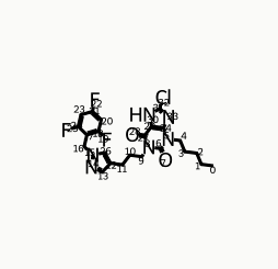 CCCCCn1c(=O)n(CCCc2cnn(Cc3c(F)cc(F)cc3F)c2)c(=O)c2[nH]c(Cl)nc21